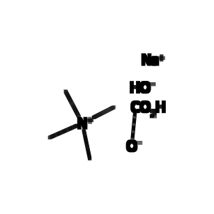 C[N+](C)(C)C.O=C([O-])O.[Na+].[OH-]